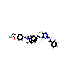 CC(C)(C)[Si](C)(C)O[C@H]1CC[C@@H](CN[C@@H]2[C@@H]3CC4C[C@H]2C[C@@](CNc2nc(NCc5ccccc5Cl)ncc2C#N)(C4)C3)CC1